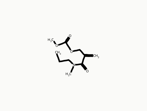 C=C(COC(=O)OC)C(=O)N(C)CCC